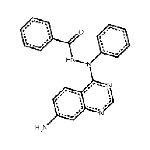 Nc1ccc2c(N(NC(=O)c3ccccc3)c3ccccc3)ncnc2c1